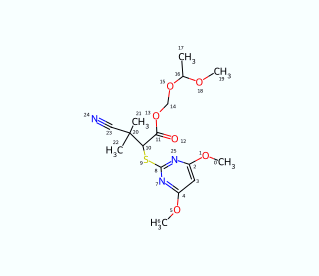 COc1cc(OC)nc(SC(C(=O)OCOC(C)OC)C(C)(C)C#N)n1